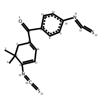 CC1(C)CC(C(=O)c2ccc(N=C=S)cc2)=CC=C1N=C=S